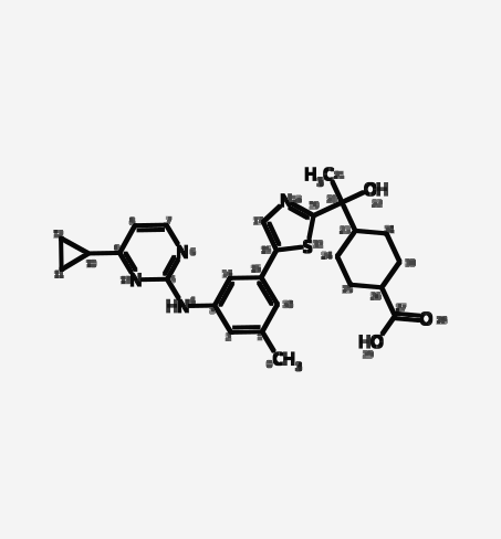 Cc1cc(Nc2nccc(C3CC3)n2)cc(-c2cnc(C(C)(O)C3CCC(C(=O)O)CC3)s2)c1